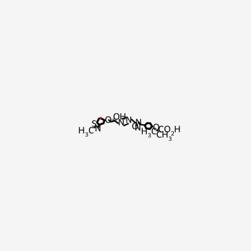 Cc1nc2cc(OC[C@@H](O)CN3CCN(Cc4nc(-c5ccc(OC(C)(C)C(=O)O)cc5)no4)CC3)ccc2s1